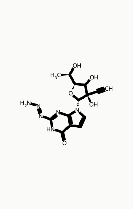 C#C[C@@]1(O)C(O)[C@@H]([C@@H](C)O)O[C@H]1n1ccc2c(=O)[nH]c(N=NN)nc21